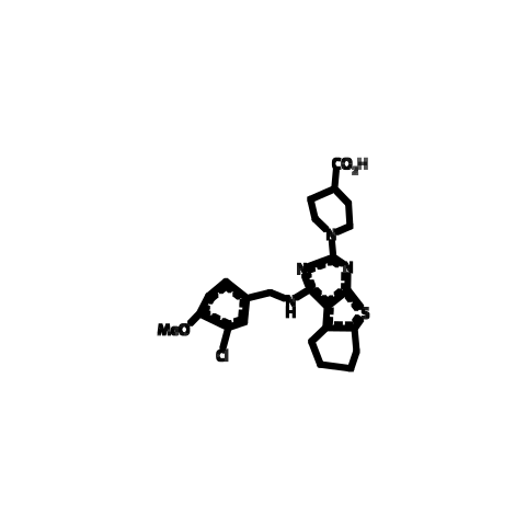 COc1ccc(CNc2nc(N3CCC(C(=O)O)CC3)nc3sc4c(c23)CCCC4)cc1Cl